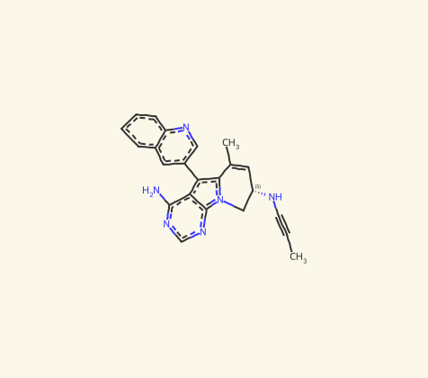 CC#CN[C@H]1C=C(C)c2c(-c3cnc4ccccc4c3)c3c(N)ncnc3n2C1